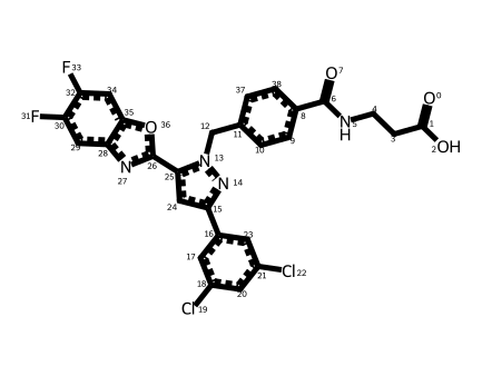 O=C(O)CCNC(=O)c1ccc(Cn2nc(-c3cc(Cl)cc(Cl)c3)cc2-c2nc3cc(F)c(F)cc3o2)cc1